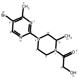 Cc1nc(N2CCN(C(=O)CO)C(C)C2)ncc1Br